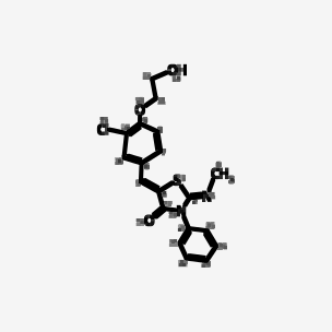 C/N=C1\S/C(=C\c2ccc(OCCO)c(Cl)c2)C(=O)N1c1ccccc1